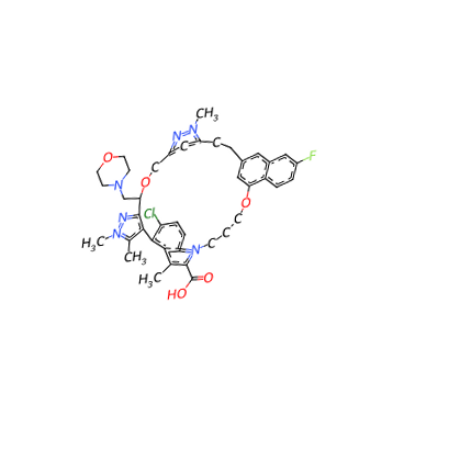 Cc1c(C(=O)O)n2c3ccc(Cl)c(c13)-c1c(nn(C)c1C)C(CN1CCOCC1)OCc1cc(n(C)n1)CCc1cc(c3ccc(F)cc3c1)OCCC2